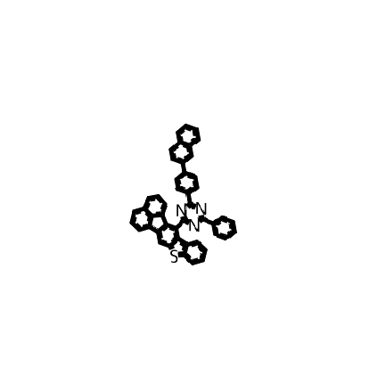 c1ccc(-c2nc(-c3ccc(-c4ccc5ccccc5c4)cc3)nc(-c3c4c(cc5sc6ccccc6c35)-c3cccc5cccc-4c35)n2)cc1